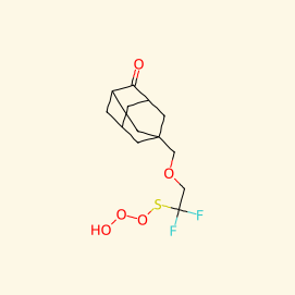 O=C1C2CC3CC1CC(COCC(F)(F)SOOO)(C3)C2